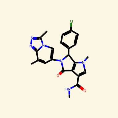 CNC(=O)c1cn(C)c2c1C(=O)N(c1cc(C)c3nnc(C)n3c1)C2c1ccc(Cl)cc1